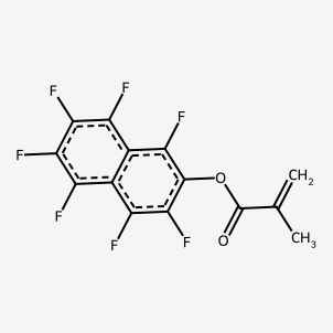 C=C(C)C(=O)Oc1c(F)c(F)c2c(F)c(F)c(F)c(F)c2c1F